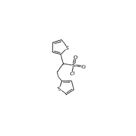 O=S(=O)(Cl)C(Cc1cccs1)c1cccs1